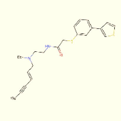 CCN(C/C=C/C#CC(C)(C)C)CCNC(=O)CSc1cccc(-c2ccsc2)c1